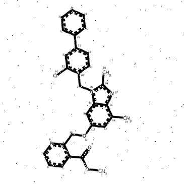 COC(=O)c1cccnc1COc1cc(C)c2nc(C)n(Cc3ccc(-c4ccccc4)cc3Cl)c2c1